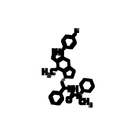 C[C@@H]1C2=C(CC[C@@H]2CC(NC(=O)N(C)C2CCCCC2)c2ccccc2)Cc2c1cnn2-c1ccc(F)cc1